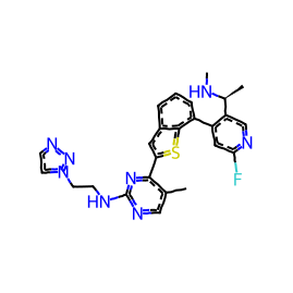 CN[C@@H](C)c1cnc(F)cc1-c1cccc2cc(-c3nc(NCCn4ccnn4)ncc3C)sc12